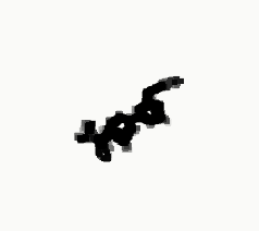 CC(C)Cc1cccc(-c2ccc(C(=O)N(C)C)cc2)c1